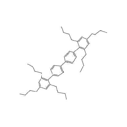 CCCCc1cc(CCCC)c(-c2ccc(-c3ccc(-c4c(CCCC)cc(CCCC)cc4CCCC)cc3)cc2)c(CCCC)c1